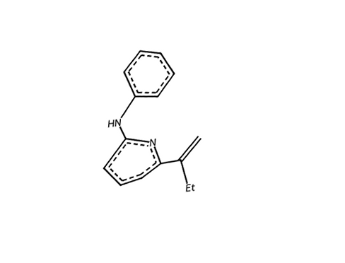 C=C(CC)c1cccc(Nc2ccccc2)n1